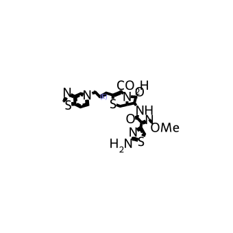 CON=C(C(=O)NC1C(=O)N2C(C(=O)O)=C(/C=C/C[n+]3ccc4scnc4c3)SCC12)c1csc(N)n1